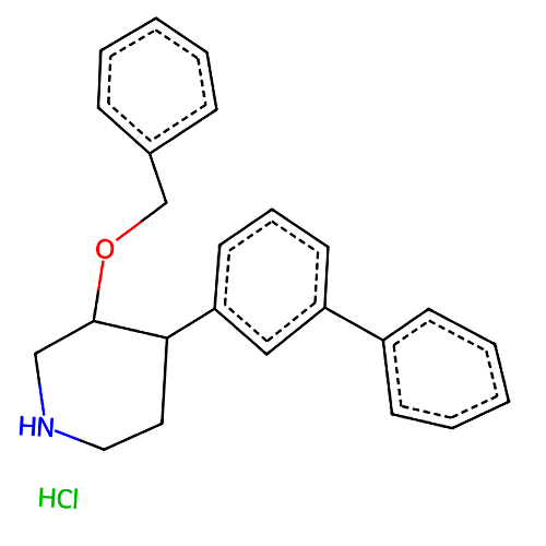 Cl.c1ccc(COC2CNCCC2c2cccc(-c3ccccc3)c2)cc1